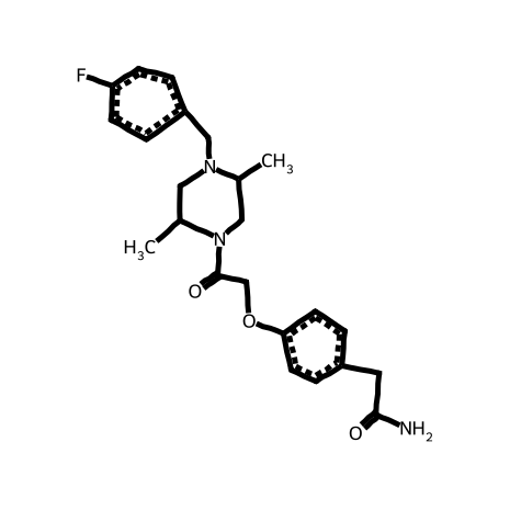 CC1CN(C(=O)COc2ccc(CC(N)=O)cc2)C(C)CN1Cc1ccc(F)cc1